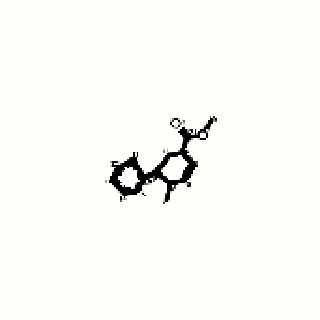 COC(=O)C1C=CC(C)C(c2ccccc2)C1